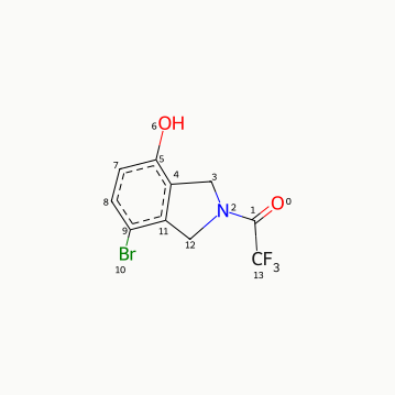 O=C(N1Cc2c(O)ccc(Br)c2C1)C(F)(F)F